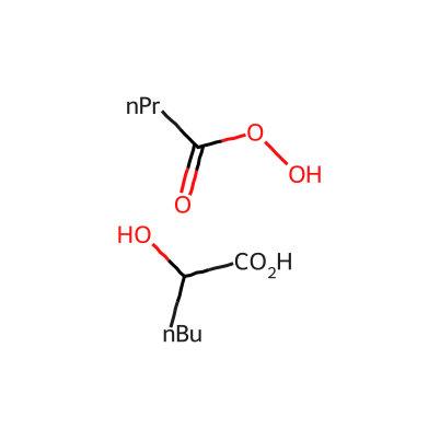 CCCC(=O)OO.CCCCC(O)C(=O)O